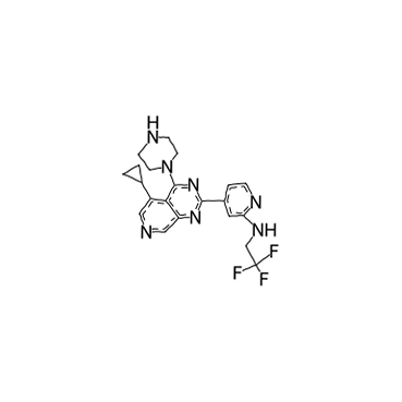 FC(F)(F)CNc1cc(-c2nc(N3CCNCC3)c3c(C4CC4)cncc3n2)ccn1